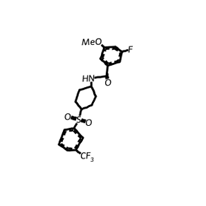 COc1cc(F)cc(C(=O)NC2CCC(S(=O)(=O)c3cccc(C(F)(F)F)c3)CC2)c1